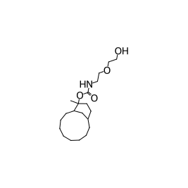 CC1(OC(=O)NCCOCCO)CCC2CCCCCCCCC1C2